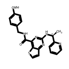 COc1ccc(CNC(=O)c2nc(N[C@@H](C)c3ccccn3)nc3ccsc23)cc1